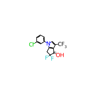 O[C@H]1c2c(C(F)(F)F)cn(-c3cccc(Cl)c3)c2CC1(F)F